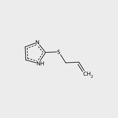 C=CCSc1ncc[nH]1